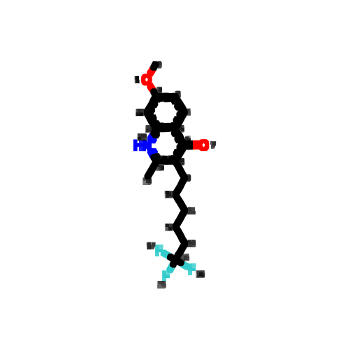 COc1ccc2c(=O)c(CCCCCC(F)(F)F)c(C)[nH]c2c1